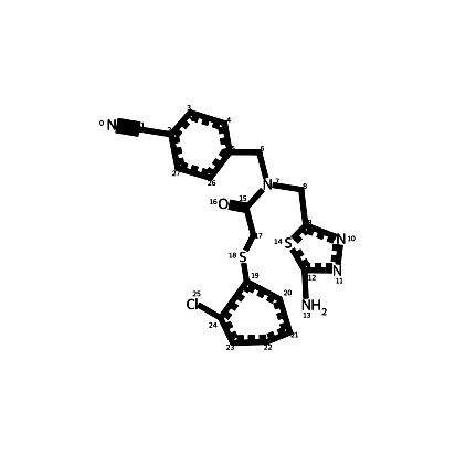 N#Cc1ccc(CN(Cc2nnc(N)s2)C(=O)CSc2ccccc2Cl)cc1